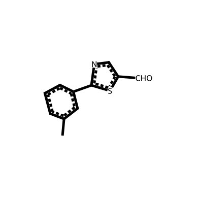 Cc1cccc(-c2ncc(C=O)s2)c1